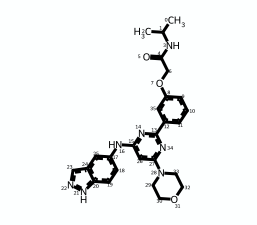 CC(C)NC(=O)COc1cccc(-c2nc(Nc3ccc4[nH]ncc4c3)cc(N3CCOCC3)n2)c1